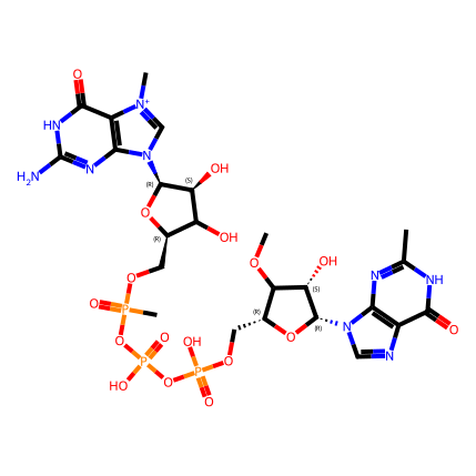 COC1[C@@H](COP(=O)(O)OP(=O)(O)OP(C)(=O)OC[C@H]2O[C@@H](n3c[n+](C)c4c(=O)[nH]c(N)nc43)[C@@H](O)C2O)O[C@@H](n2cnc3c(=O)[nH]c(C)nc32)[C@H]1O